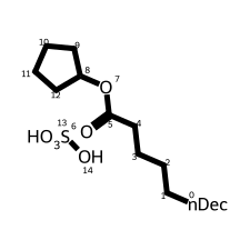 CCCCCCCCCCCCCCC(=O)OC1CCCC1.O=S(=O)(O)O